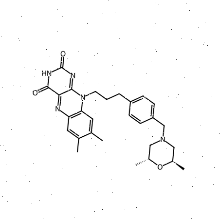 Cc1cc2nc3c(=O)[nH]c(=O)nc-3n(CCCc3ccc(CN4C[C@@H](C)O[C@H](C)C4)cc3)c2cc1C